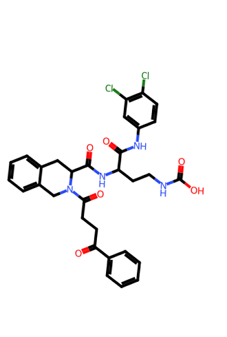 O=C(O)NCCC(NC(=O)C1Cc2ccccc2CN1C(=O)CCC(=O)c1ccccc1)C(=O)Nc1ccc(Cl)c(Cl)c1